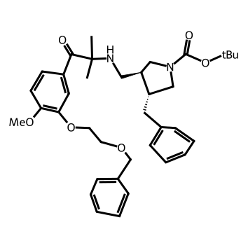 COc1ccc(C(=O)C(C)(C)NC[C@H]2CN(C(=O)OC(C)(C)C)C[C@@H]2Cc2ccccc2)cc1OCCOCc1ccccc1